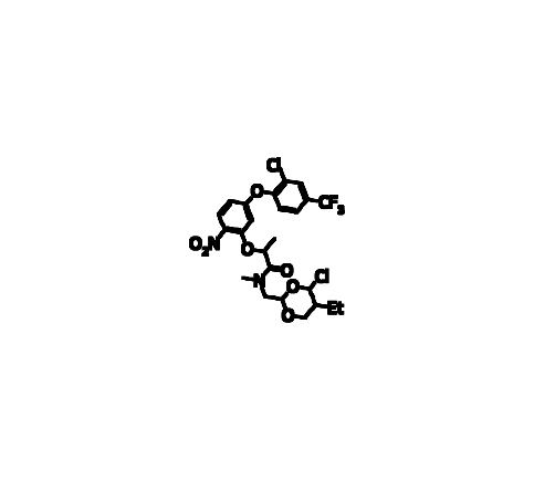 CCC1COC(CN(C)C(=O)C(C)Oc2cc(Oc3ccc(C(F)(F)F)cc3Cl)ccc2[N+](=O)[O-])OC1Cl